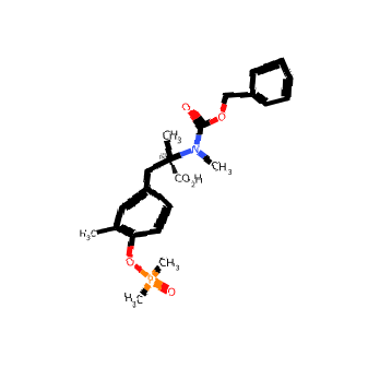 Cc1cc(C[C@@](C)(C(=O)O)N(C)C(=O)OCc2ccccc2)ccc1OP(C)(C)=O